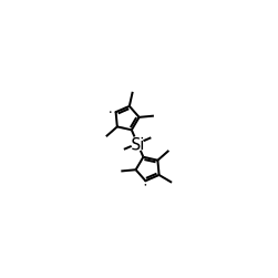 CC1=[C]C(C)C([Si](C)(C)C2=C(C)C(C)=[C]C2C)=C1C